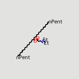 CCCCCC=CCC=CCCCCCCCCC(CCCCCCCCC=CCC=CCCCCC)OC(=O)CCCN(CC)CC